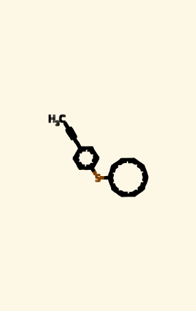 CC#Cc1ccc(Sc2ccccccccc2)cc1